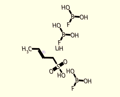 C/C=C/CS(=O)(=O)O.OB(O)F.OB(O)F.OB(O)F.[LiH]